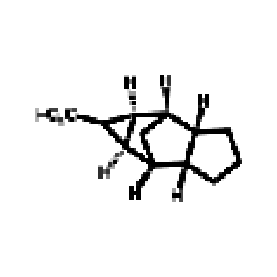 O=C(O)C1[C@@H]2[C@@H]3C[C@@H]([C@@H]4CCC[C@@H]43)[C@H]12